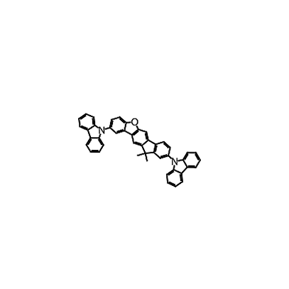 CC1(C)c2cc(-n3c4ccccc4c4ccccc43)ccc2-c2cc3oc4ccc(-n5c6ccccc6c6ccccc65)cc4c3cc21